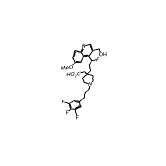 COc1ccc2ncc(CO)c(C(F)CCC3(CC(=O)O)CCN(CCCc4cc(F)c(F)c(F)c4)CC3)c2c1